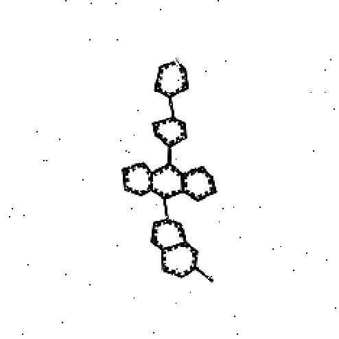 Cc1ccc2ccc(-c3c4ccccc4c(-c4ccc(-c5ccncc5)cc4)c4ccccc34)cc2c1